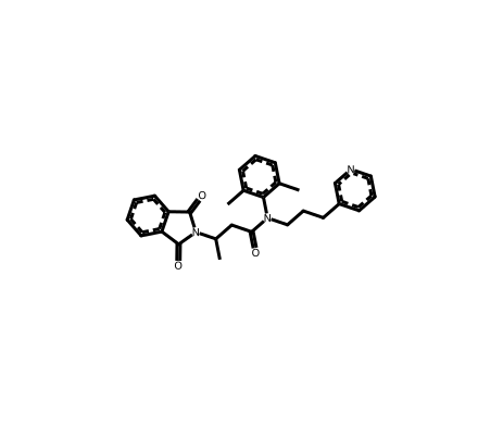 Cc1cccc(C)c1N(CCCc1cccnc1)C(=O)CC(C)N1C(=O)c2ccccc2C1=O